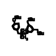 CC(C)(C)Cc1cc(CC(C)(C)C)cc(C[N+](C)(C)Cc2ccc(OC(C)(C)C)cc2)c1